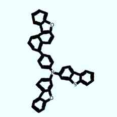 c1ccc2c(c1)oc1cc(N(c3ccc(-c4cccc5c4ccc4oc6ccccc6c45)cc3)c3ccc4c(c3)sc3ccccc34)ccc12